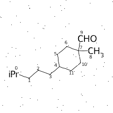 CC(C)CCCC1CCC(C)(C=O)CC1